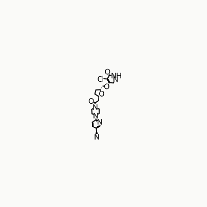 N#Cc1ccc(N2CCN(C(=O)C[C@H]3CC[C@H](COc4cn[nH]c(=O)c4Cl)O3)CC2)nc1